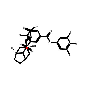 O=C(O)/C=C/[C@@]1(O)CC2CC[C@@H](C1)C2S(=O)(=O)c1cc(C(=O)Nc2cc(F)c(F)c(F)c2)ccc1Cl